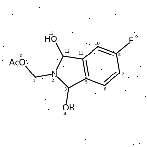 CC(=O)OCN1C(O)c2ccc(F)cc2C1O